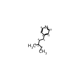 CCC(C)CCc1ccncc1